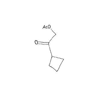 CC(=O)OCC(=O)C1CCC1